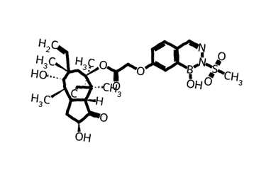 C=C[C@]1(C)C[C@@H](OC(=O)COc2ccc3c(c2)B(O)N(S(C)(=O)=O)N=C3)[C@]2(C)[C@H](C)CC[C@]3(C[C@H](O)C(=O)[C@H]32)[C@@H](C)[C@@H]1O